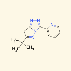 CC(C)(C)C1=Nn2c(nnc2-c2ccccn2)C1